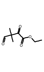 CCOC(=O)C(=O)C(C)(C)C=O